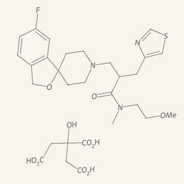 COCCN(C)C(=O)C(Cc1cscn1)CN1CCC2(CC1)OCc1ccc(F)cc12.O=C(O)CC(O)(CC(=O)O)C(=O)O